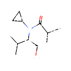 CC(C)C(=O)N(C1CC1)[C@@H](CO)C(C)C